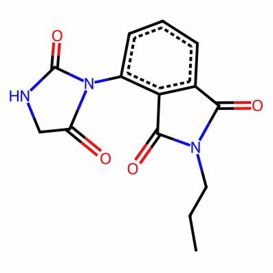 CCCN1C(=O)c2cccc(N3C(=O)CNC3=O)c2C1=O